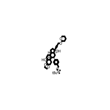 CC(C)(C)[Si](C)(C)OCc1ccc([C@H]2C[C@@]3(C)[C@@H](CC[C@@]3(O)C#CCOC3CCCCO3)[C@@H]3CC[C@@]4(O)CC5(CCC4=C32)OCCO5)cc1